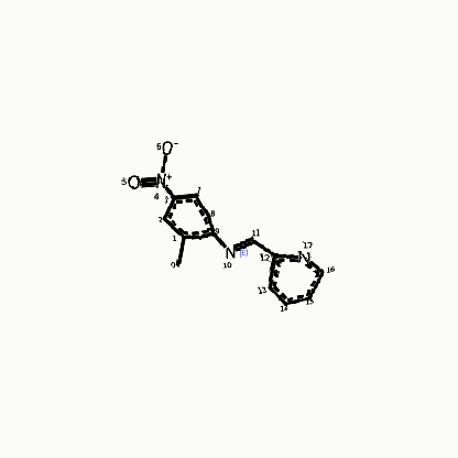 Cc1cc([N+](=O)[O-])ccc1/N=C/c1ccccn1